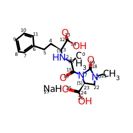 C[C@H](N[C@@H](CCc1ccccc1)C(=O)O)C(=O)N1C(=O)N(C)C[C@H]1C(=O)O.[NaH]